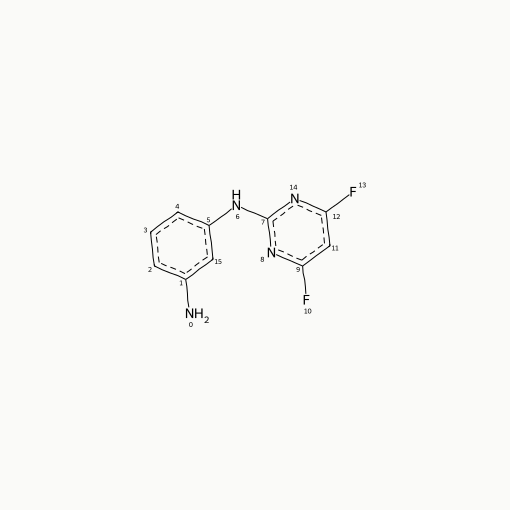 Nc1cccc(Nc2nc(F)cc(F)n2)c1